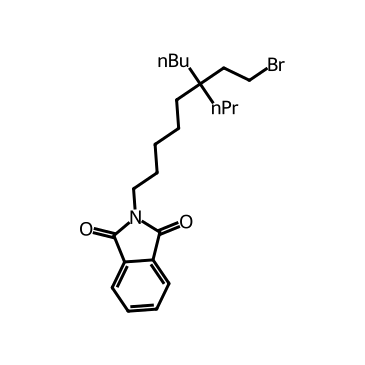 CCCCC(CCC)(CCBr)CCCCCN1C(=O)c2ccccc2C1=O